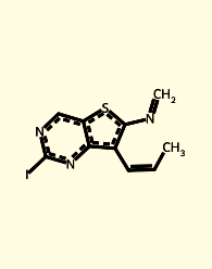 C=Nc1sc2cnc(I)nc2c1/C=C\C